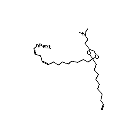 C=CCCCCCCCCC1(CCCCCCCC/C=C\C/C=C\CCCCC)OCC(CCN(C)C)O1